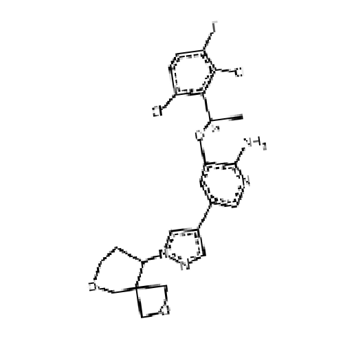 C[C@@H](Oc1cc(-c2cnn(C3CCOCC34COC4)c2)cnc1N)c1c(Cl)ccc(F)c1Cl